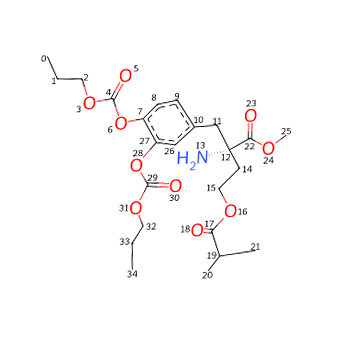 CCCOC(=O)Oc1ccc(C[C@](N)(CCOC(=O)C(C)C)C(=O)OC)cc1OC(=O)OCCC